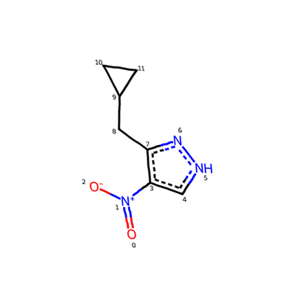 O=[N+]([O-])c1c[nH]nc1CC1CC1